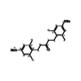 CSc1cc(C)c(CCC(=O)CCc2c(C)cc(SC)cc2C)c(C)c1